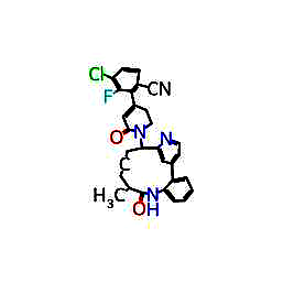 CC1CCCC(N2CCC(c3c(C#N)ccc(Cl)c3F)=CC2=O)c2cc(ccn2)-c2ccccc2NC1=O